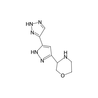 c1n[nH]nc1-c1cc(C2COCCN2)n[nH]1